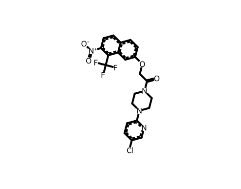 O=C(COc1ccc2ccc([N+](=O)[O-])c(C(F)(F)F)c2c1)N1CCN(c2ccc(Cl)cn2)CC1